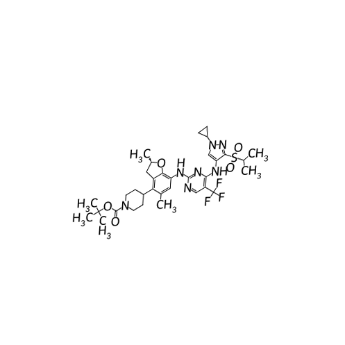 Cc1cc(Nc2ncc(C(F)(F)F)c(Nc3cn(C4CC4)nc3S(=O)(=O)C(C)C)n2)c2c(c1C1CCN(C(=O)OC(C)(C)C)CC1)C[C@@H](C)O2